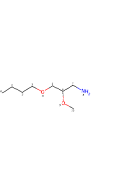 CCCCOCC(CN)OC